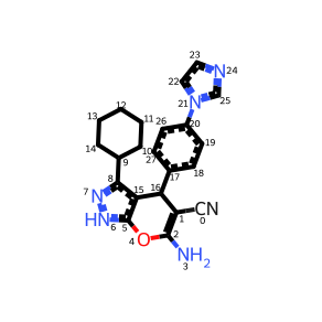 N#CC1=C(N)Oc2[nH]nc(C3CCCCC3)c2C1c1ccc(-n2ccnc2)cc1